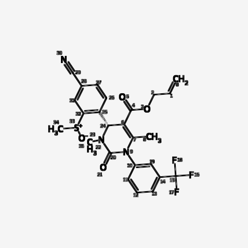 C=CCOC(=O)C1=C(C)N(c2cccc(C(F)(F)F)c2)C(=O)N(C)[C@@H]1c1ccc(C#N)cc1[S+](C)[O-]